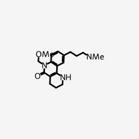 CNCCCc1ccc2c(c1)c1c(c(=O)n2COC)CCCN1